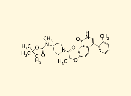 Cc1ccccc1-c1c[nH]c(=O)c2cc(O[C@H](C)C(=O)N3CCC(N(C)C(=O)OC(C)(C)C)CC3)ccc12